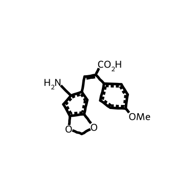 COc1ccc(C(=Cc2cc3c(cc2N)OCO3)C(=O)O)cc1